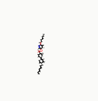 CCCCCCC[C@H]1CC[C@H]([C@H]2CC[C@H](C(=O)Oc3ccc(OCCCCC)nc3)CC2)CC1